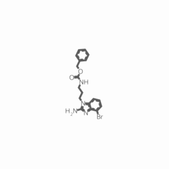 Nc1nc2c(Br)cccc2n1CCCNC(=O)OCc1ccccc1